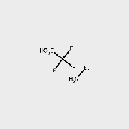 CCN.O=C(O)C(F)(F)F